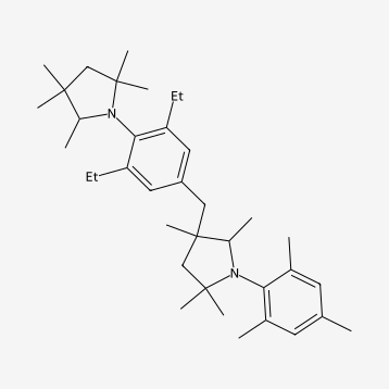 CCc1cc(CC2(C)CC(C)(C)N(c3c(C)cc(C)cc3C)C2C)cc(CC)c1N1C(C)C(C)(C)CC1(C)C